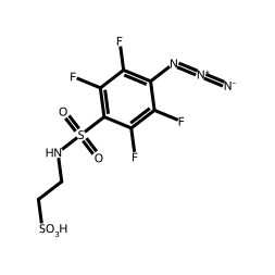 [N-]=[N+]=Nc1c(F)c(F)c(S(=O)(=O)NCCS(=O)(=O)O)c(F)c1F